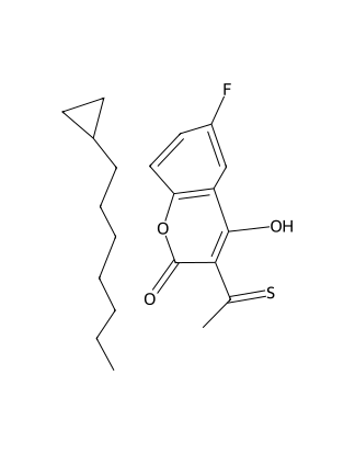 CC(=S)c1c(O)c2cc(F)ccc2oc1=O.CCCCCCCC1CC1